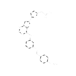 CCNCc1ccc(-c2cc3ncnc(Nc4cccc(OCc5ccc(OC)cc5)c4)c3s2)s1